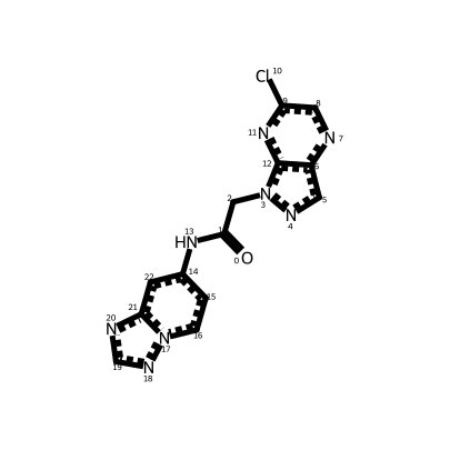 O=C(Cn1ncc2ncc(Cl)nc21)Nc1ccn2ncnc2c1